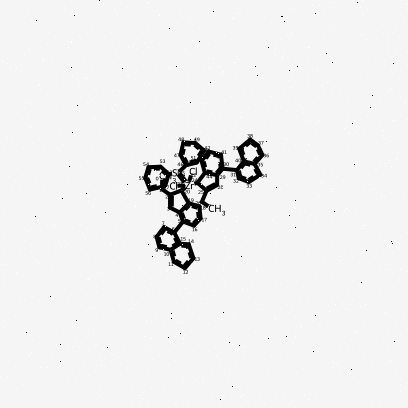 CCC1=Cc2c(-c3cccc4ccccc34)cccc2[CH]1[Zr]([Cl])([Cl])([CH]1C(CC)=Cc2c(-c3cccc4ccccc34)cccc21)=[Si](c1ccccc1)c1ccccc1